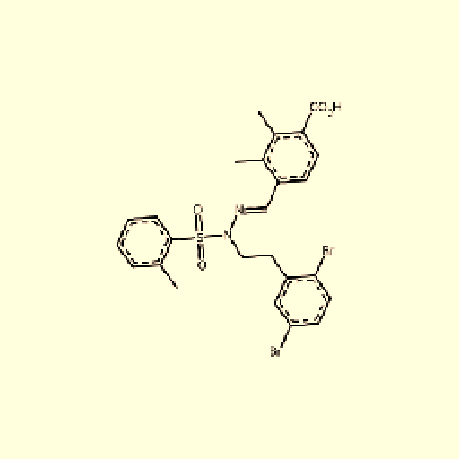 Cc1ccccc1S(=O)(=O)N(CCc1cc(Br)ccc1Br)N=Cc1ccc(C(=O)O)c(C)c1C